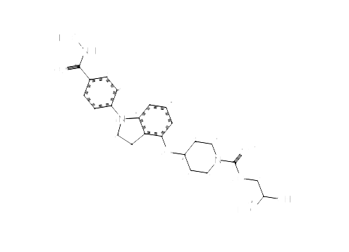 CNC(=O)c1ccc(N2CCc3c(OC4CCN(C(=O)OCC(C)C)CC4)cccc32)cc1